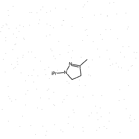 CC1=NN(C(C)C)CC1